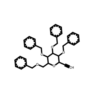 C#CC1OC(COCc2ccccc2)C(OCc2ccccc2)C(OCc2ccccc2)C1OCc1ccccc1